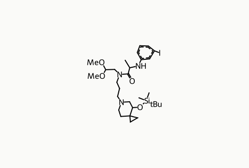 COC(CN(CCCN1CCC2(CC2)C(O[Si](C)(C)C(C)(C)C)C1)C(=O)C(C)Nc1cccc(I)c1)OC